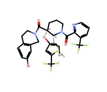 CCC[C@H]1N(C(=O)c2ncccc2C(F)(F)F)CCC[C@]1(Oc1csc(C(F)(F)F)c1)C(=O)N1CCc2ccc(Br)cc2C1